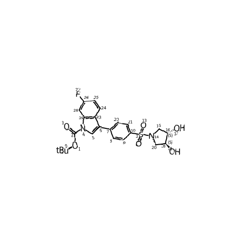 CC(C)(C)OC(=O)n1cc(-c2ccc(S(=O)(=O)N3C[C@H](O)[C@@H](O)C3)cc2)c2ccc(F)cc21